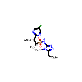 CCCCCn1c(COC)nnc1NS(=O)(=O)[C@@H](C)[C@H](OC)c1ncc(Cl)cn1